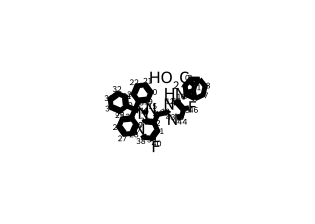 O=C(O)C1C2CCCC(CC2)C1Nc1nc(-c2nn(C(c3ccccc3)(c3ccccc3)c3ccccc3)c3ncc(F)cc23)ncc1F